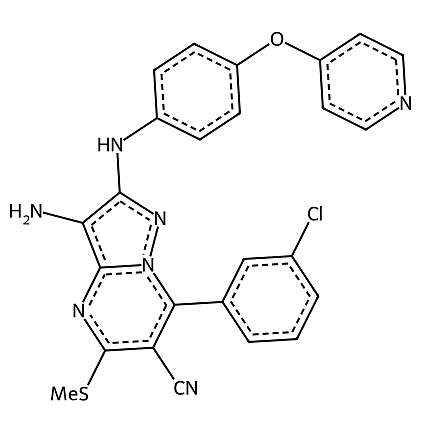 CSc1nc2c(N)c(Nc3ccc(Oc4ccncc4)cc3)nn2c(-c2cccc(Cl)c2)c1C#N